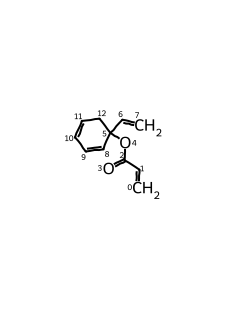 C=CC(=O)OC1(C=C)C=CC=CC1